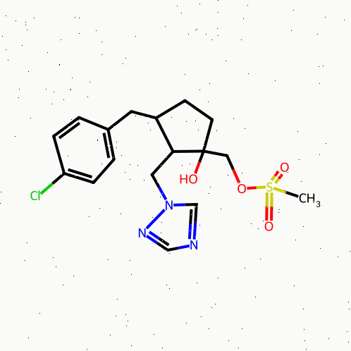 CS(=O)(=O)OCC1(O)CCC(Cc2ccc(Cl)cc2)C1Cn1cncn1